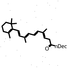 CCCCCCCCCCC(=O)CC=C(C)C=CC=C(C)C=CC1=C(C)CCCC1(C)C